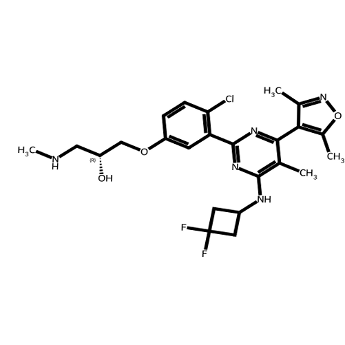 CNC[C@@H](O)COc1ccc(Cl)c(-c2nc(NC3CC(F)(F)C3)c(C)c(-c3c(C)noc3C)n2)c1